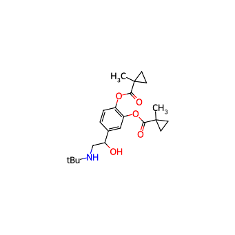 CC(C)(C)NCC(O)c1ccc(OC(=O)C2(C)CC2)c(OC(=O)C2(C)CC2)c1